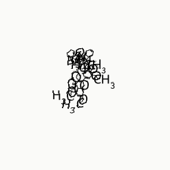 COc1cc(OC)c2c(=O)c(OCCCSc3nc4ccccc4n3S(=O)(=O)c3ccccc3Br)c(-c3cc(OC)c(OC)c(OC)c3)oc2c1